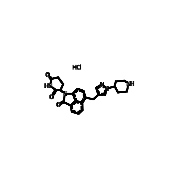 Cl.O=C1CCC(N2C(=O)c3cccc4c(Cc5cnn(C6CCNCC6)c5)ccc2c34)C(=O)N1